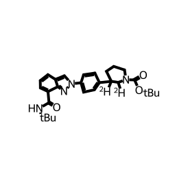 [2H]C1N(C(=O)OC(C)(C)C)CCCC1([2H])c1ccc(-n2cc3cccc(C(=O)NC(C)(C)C)c3n2)cc1